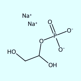 O=P([O-])([O-])OC(O)CO.[Na+].[Na+]